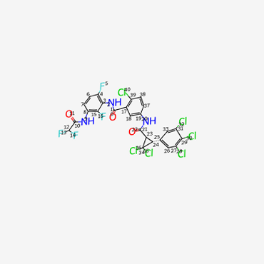 O=C(Nc1c(F)ccc(NC(=O)C(F)F)c1F)c1cc(NC(=O)C2[C@H](c3cc(Cl)c(Cl)c(Cl)c3)C2(Cl)Cl)ccc1Cl